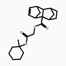 CC1(OC(=O)COC(=O)C23C4C=CC(C4)C2C2CCC3C2)CCCCC1